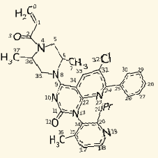 C=CC(=O)N1CC(C)N(c2nc(=O)n(-c3c(C)ccnc3C(C)C)c3nc(-c4ccccc4)c(Cl)cc23)CC1C